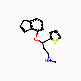 CNCCC(Oc1cccc2c1C=CC2)c1cccs1